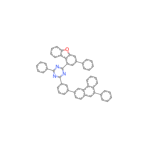 c1ccc(-c2cc(-c3nc(-c4ccccc4)nc(-c4cccc(-c5ccc6cc(-c7ccccc7)c7ccccc7c6c5)c4)n3)c3c(c2)oc2ccccc23)cc1